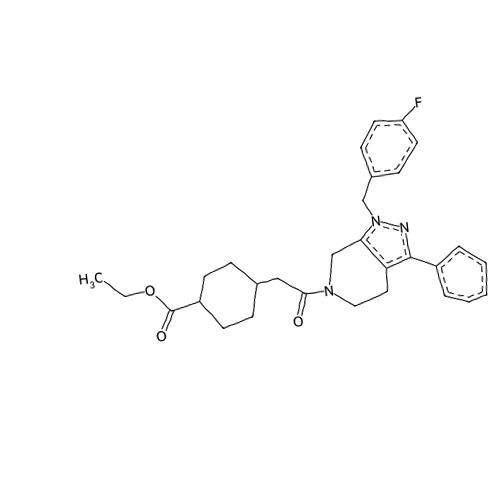 CCOC(=O)C1CCC(CC(=O)N2CCc3c(-c4ccccc4)nn(Cc4ccc(F)cc4)c3C2)CC1